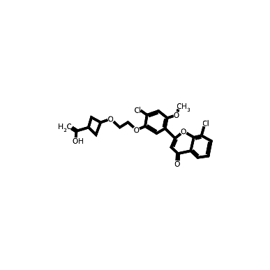 C=C(O)C1CC(OCCOc2cc(-c3cc(=O)c4cccc(Cl)c4o3)c(OC)cc2Cl)C1